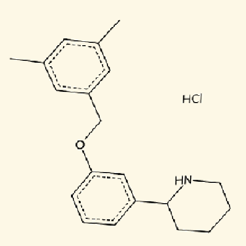 Cc1cc(C)cc(COc2cccc(C3CCCCN3)c2)c1.Cl